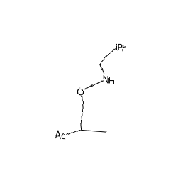 CC(=O)C(C)ONCC(C)C